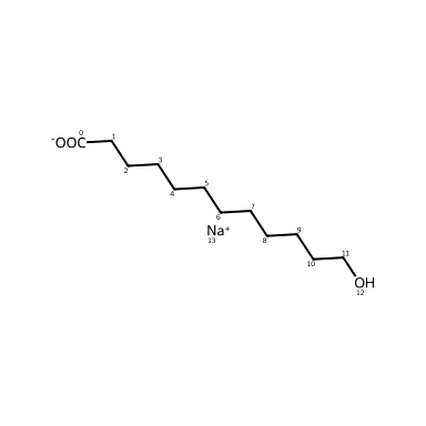 O=C([O-])CCCCCCCCCCCO.[Na+]